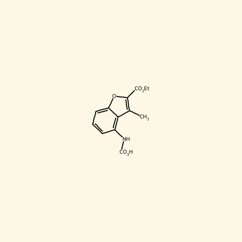 CCOC(=O)c1oc2cccc(NC(=O)O)c2c1C